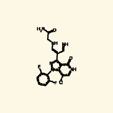 N=C/C(=C\NCC(N)=O)c1nn(-c2c(F)cccc2F)c2c(Cl)c[nH]c(=O)c12